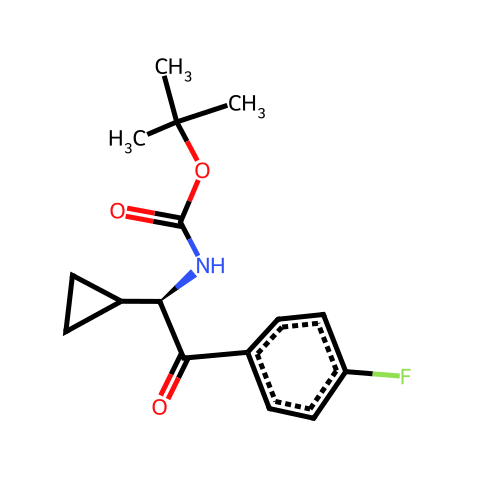 CC(C)(C)OC(=O)N[C@@H](C(=O)c1ccc(F)cc1)C1CC1